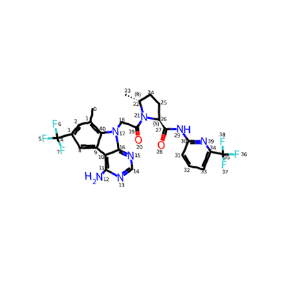 Cc1cc(C(F)(F)F)cc2c3c(N)ncnc3n(CC(=O)N3[C@H](C)CC[C@H]3C(=O)Nc3cccc(C(F)(F)F)n3)c12